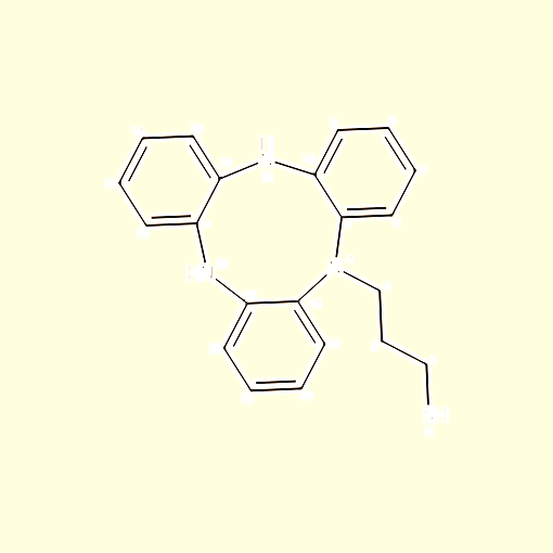 SCCCN1c2ccccc2Nc2ccccc2Nc2ccccc21